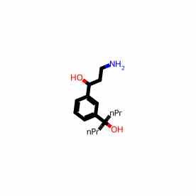 CCCC(O)(CCC)c1cccc(C(O)CCN)c1